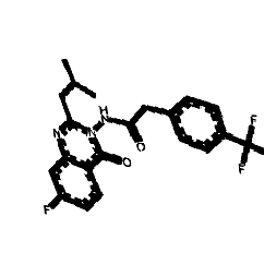 CC(C)Cc1nc2cc(F)ccc2c(=O)n1NC(=O)Cc1ccc(C(F)(F)F)cc1